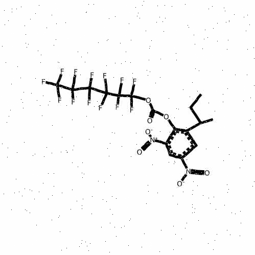 CCC(C)c1cc([N+](=O)[O-])cc([N+](=O)[O-])c1OC(=O)OC(F)(F)C(F)(F)C(F)(F)C(F)(F)C(F)(F)C(F)(F)F